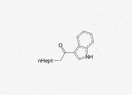 CCCCCCCCC(=O)c1c[nH]c2ccccc12